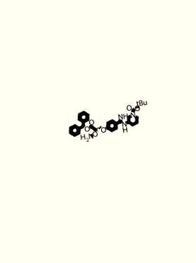 CC(C)(C)OC(=O)N1CCCC(NC(=N)c2ccc(OC[C@H](ON)C(=O)OC(c3ccccc3)c3ccccc3)cc2)C1